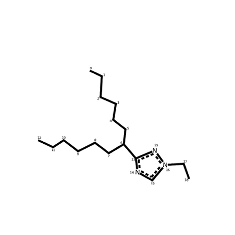 CCCCCCC(CCCCCC)c1ncn(CC)n1